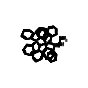 [SiH3]N[SiH](c1ccccc1)N(c1ccccc1)[Si](c1ccccc1)(c1ccccc1)N(c1ccccc1)[Si](c1ccccc1)(c1ccccc1)c1ccccc1